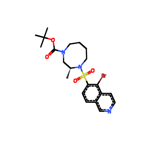 C[C@@H]1CN(C(=O)OC(C)(C)C)CCCCN1S(=O)(=O)c1ccc2cnccc2c1Br